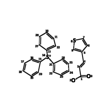 O=C([O-])/C=C/c1ccsc1.c1ccc([S+](c2ccccc2)c2ccccc2)cc1